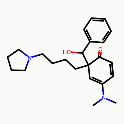 CN(C)C1=CC(CCCCN2CCCC2)(C(O)c2ccccc2)C(=O)C=C1